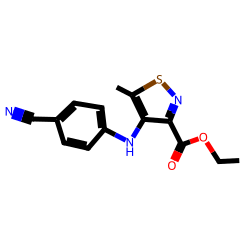 CCOC(=O)c1nsc(C)c1Nc1ccc(C#N)cc1